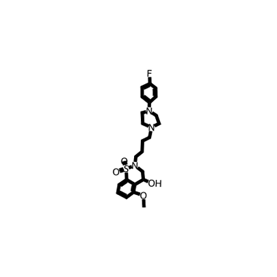 COc1cccc2c1C(O)CN(CCCCN1CCN(c3ccc(F)cc3)CC1)S2(=O)=O